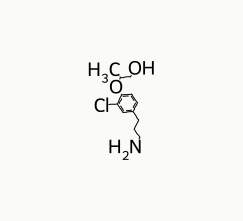 CC(CO)Oc1ccc(CCCN)cc1Cl